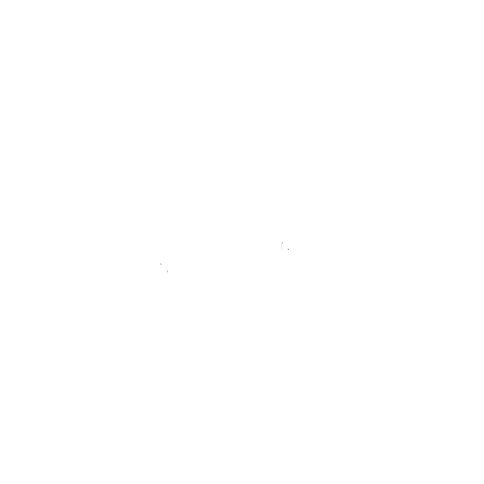 CNSC1CN(C(C)C)C1